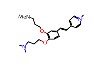 CNCCCOc1cc(/C=C/c2cc[n+](C)cc2)ccc1OCCCN(C)C